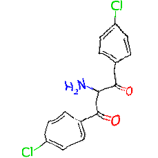 NC(C(=O)c1ccc(Cl)cc1)C(=O)c1ccc(Cl)cc1